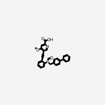 COc1cc(C(=O)O)ncc1C#Cc1ccccc1N(C=O)Cc1ccc(-c2ccccc2)cc1